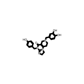 O=C1C2=C(CCN(Cc3ccc(O)c(O)c3)C2)N2CCN=C2N1Cc1ccc(O)cc1